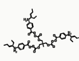 CC/C=C(\CC)[SiH2]c1ccc(C(=O)OOC(=O)OCC(C)(COC(=O)OOC(=O)c2ccc([SiH2]/C(=C/CC)CC)cc2)COC(=O)OOC(=O)c2ccc([SiH2]/C(=C/CC)CC)cc2)cc1